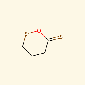 S=C1CCCSO1